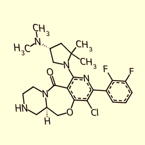 CN(C)[C@H]1CN(c2nc(-c3cccc(F)c3F)c(Cl)c3c2C(=O)N2CCNC[C@@H]2CO3)C(C)(C)C1